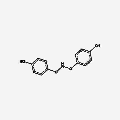 Oc1ccc(ONOc2ccc(O)cc2)cc1